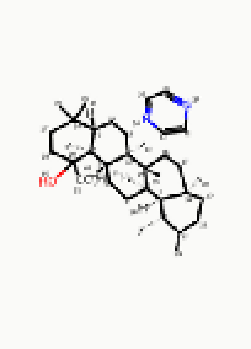 C[C@@H]1[C@H]2[C@H]3CC[C@@H]4[C@]5(C)[C@@H](CC[C@@]4(C)[C@]3(C)CC[C@@]2(C)CC[C@H]1C)C(C)(C)CCC5(O)C(=O)O.c1cnccn1